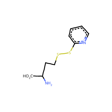 NC(CCSSc1ccccn1)C(=O)O